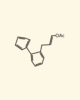 CC(=O)OC=CCc1ccccc1-c1ccccc1